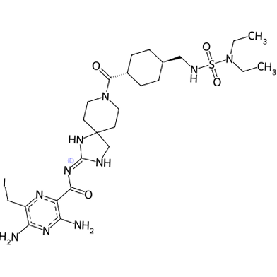 CCN(CC)S(=O)(=O)NC[C@H]1CC[C@H](C(=O)N2CCC3(CC2)CN/C(=N\C(=O)c2nc(CI)c(N)nc2N)N3)CC1